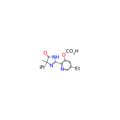 CCc1cnc(C2=NC(C)(C(C)C)C(=O)N2)c(OC(=O)O)c1